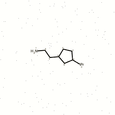 CC(C)C1CCC(CCN)C1